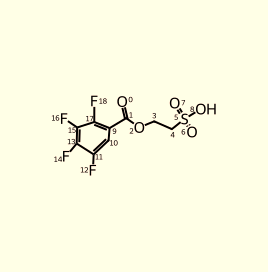 O=C(OCCS(=O)(=O)O)c1cc(F)c(F)c(F)c1F